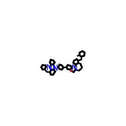 C/C=C1/C=C\C=C/c2c(Cc3ccccc3C)cccc2N1c1ccc(-c2ccc(N3c4ccccc4N4c5ccccc5Cc5cccc3c54)cc2)cc1